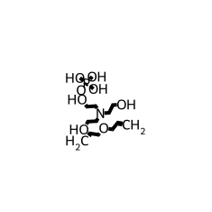 C=CCOCC=C.O=P(O)(O)O.OCCN(CCO)CCO